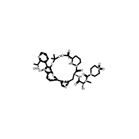 CCn1c(-c2cccnc2[C@H](C)OC)c2c3cc(ccc31)-c1csc(n1)C[C@H](NC(=O)[C@H](C(C)C)N(C)C(=O)N1CCS(=O)(=O)CC1)C(=O)N1CCC[C@H](N1)C(=O)OCC(C)(C)C2